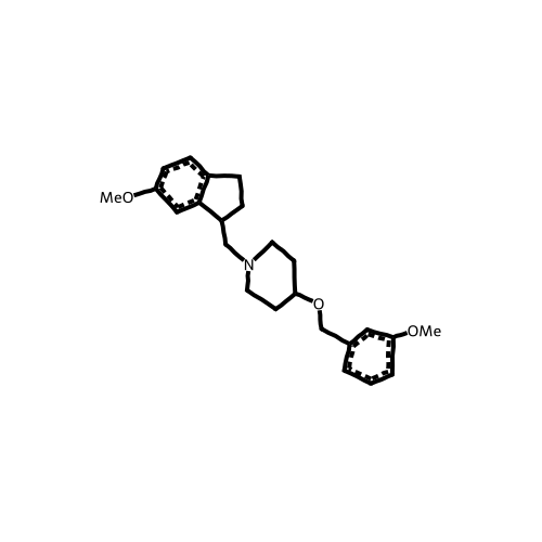 COc1cccc(COC2CCN(CC3CCc4ccc(OC)cc43)CC2)c1